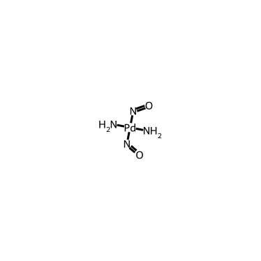 [NH2][Pd]([NH2])([N]=O)[N]=O